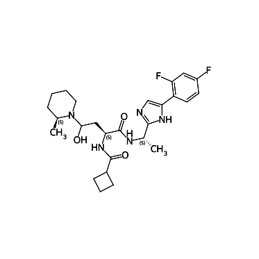 C[C@H](NC(=O)[C@H](CC(O)N1CCCC[C@@H]1C)NC(=O)C1CCC1)c1ncc(-c2ccc(F)cc2F)[nH]1